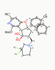 COc1nc(C#N)cc2c1[C@]1(O)[C@H](O)[C@H](CN3CCCC(F)(F)C3)[C@@H](c3ccccc3)[C@]1(c1ccc(C#N)cc1)O2